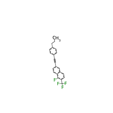 CCCc1ccc(C#Cc2ccc3c(F)c(C(F)(F)F)ccc3c2)cc1